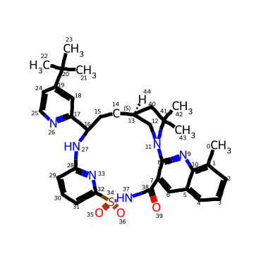 Cc1cccc2cc3c(nc12)N1C[C@@H](CCC(c2cc(C(C)(C)C)ccn2)Nc2cccc(n2)S(=O)(=O)NC3=O)CC1(C)C